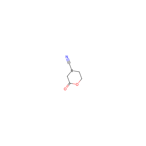 N#CB1CCOC(=O)C1